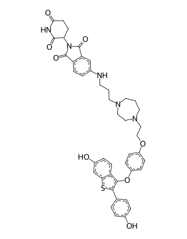 O=C1CCC(N2C(=O)c3ccc(NCCCN4CCCN(CCOc5ccc(Oc6c(-c7ccc(O)cc7)sc7cc(O)ccc67)cc5)CC4)cc3C2=O)C(=O)N1